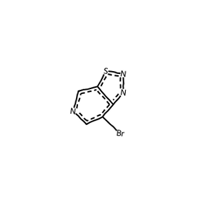 Brc1cncc2snnc12